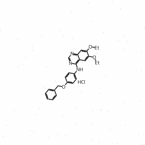 CCOc1cc2ncnc(Nc3ccc(OCc4ccccc4)cc3)c2cc1OCC.Cl